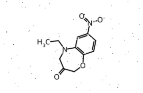 CCN1CC(=O)COc2ccc([N+](=O)[O-])cc21